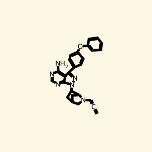 C=C=CN1CC2CC1C(n1nc(-c3ccc(Oc4ccccc4)cc3)c3c(N)ncnc31)C2